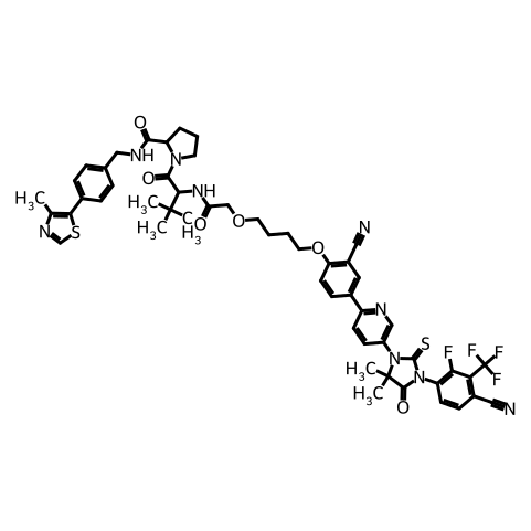 Cc1ncsc1-c1ccc(CNC(=O)C2CCCN2C(=O)C(NC(=O)COCCCCOc2ccc(-c3ccc(N4C(=S)N(c5ccc(C#N)c(C(F)(F)F)c5F)C(=O)C4(C)C)cn3)cc2C#N)C(C)(C)C)cc1